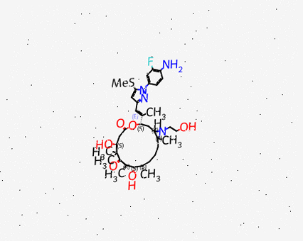 CSc1cc(/C=C(\C)[C@@H]2C[C@@H]3N(CCO)[C@]3(C)CCC[C@H](C)[C@H](O)[C@@H](C)C(=O)C(C)(C)[C@@H](O)CC(=O)O2)nn1-c1ccc(N)c(F)c1